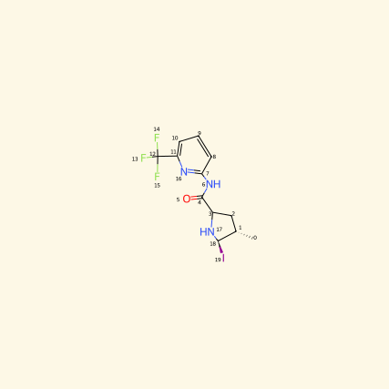 C[C@H]1CC(C(=O)Nc2cccc(C(F)(F)F)n2)N[C@@H]1I